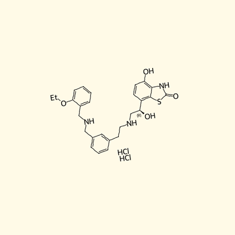 CCOc1ccccc1CNCc1cccc(CCNC[C@H](O)c2ccc(O)c3[nH]c(=O)sc23)c1.Cl.Cl